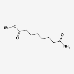 CC(C)(C)OC(=O)CCCCCCC(N)=O